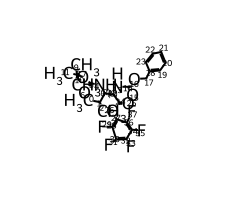 CC(C)[C@@H](NC(=O)OC(C)(C)C)[C@H](NC(=O)OCc1ccccc1)C(=O)Oc1c(F)c(F)c(F)c(F)c1F